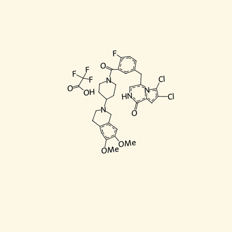 COc1cc2c(cc1OC)CN(C1CCN(C(=O)c3cc(Cc4c[nH]c(=O)c5cc(Cl)c(Cl)n45)ccc3F)CC1)CC2.O=C(O)C(F)(F)F